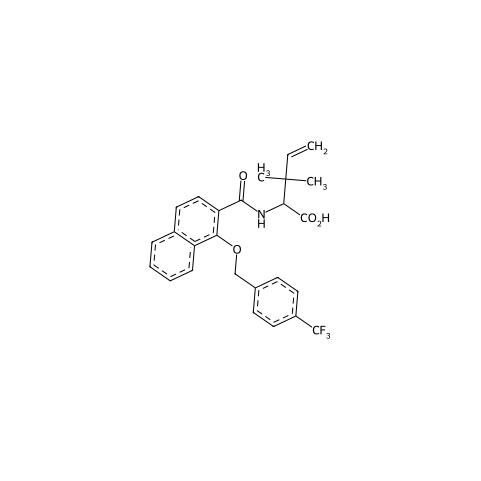 C=CC(C)(C)C(NC(=O)c1ccc2ccccc2c1OCc1ccc(C(F)(F)F)cc1)C(=O)O